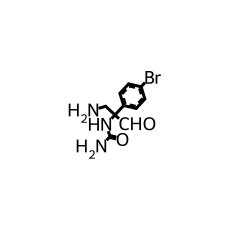 NCC(C=O)(NC(N)=O)c1ccc(Br)cc1